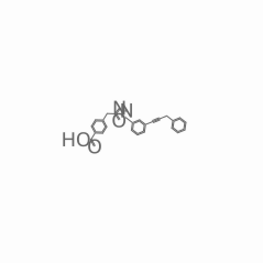 O=C(O)c1ccc(Cc2nnc(-c3cccc(C#CCc4ccccc4)c3)o2)cc1